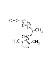 CC(C=CC1=C(C)CCCC1(C)C)=C/C=C\C(=C\C=O)C(F)(F)F